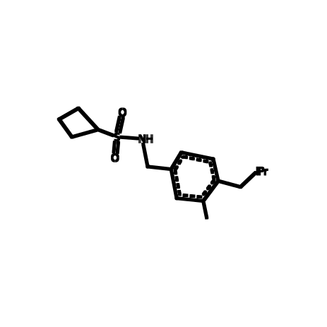 Cc1cc(CNS(=O)(=O)C2CCC2)ccc1CC(C)C